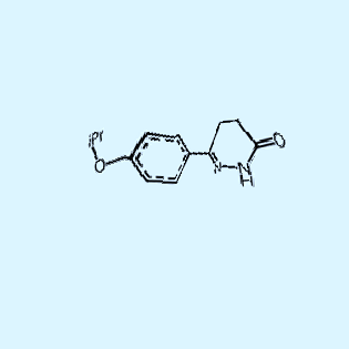 CC(C)Oc1ccc(C2=NNC(=O)CC2)cc1